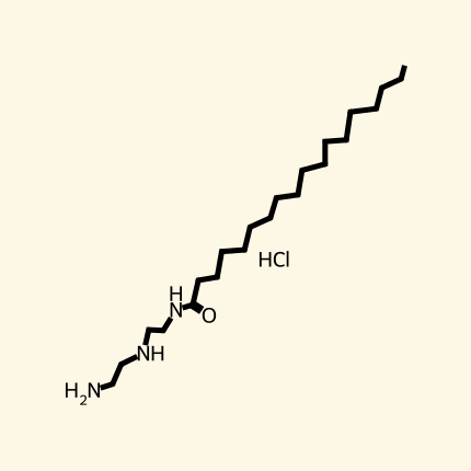 CCCCCCCCCCCCCCCCCC(=O)NCCNCCN.Cl